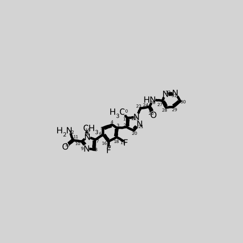 Cc1c(-c2ccc(-c3cnc(C(N)=O)n3C)c(F)c2F)cnn1CC(=O)Nc1cccnn1